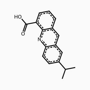 CC(C)c1ccc2nc3c(C(=O)O)cccc3cc2c1